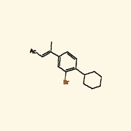 CC(=O)C=C(C)c1ccc(C2CCCCC2)c(Br)c1